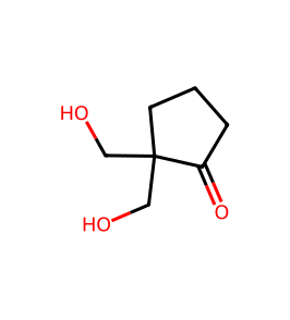 O=C1CCCC1(CO)CO